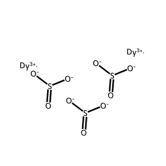 O=S([O-])[O-].O=S([O-])[O-].O=S([O-])[O-].[Dy+3].[Dy+3]